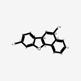 Ic1ccc2c(c1)oc1c3ccccc3c(I)cc21